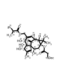 CCCCCCCCCCCC(=O)O[C@@]12C[C@@H](C)[C@]34C=C(C)[C@H](O)[C@@]3(O)[C@H](O)C(COC(=O)C(C)C(C)C)=C[C@H](C4=O)[C@@H]1C2(C)C